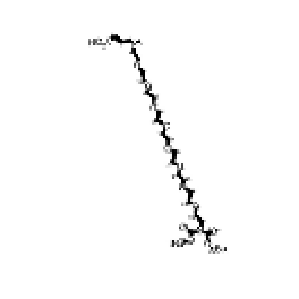 CN(C/C=C/C(=O)O)CCOCCOCCOCCOCCOCCOCCOCCOCCN(C(=O)OC(C)(C)C)C(=O)OC(C)(C)C